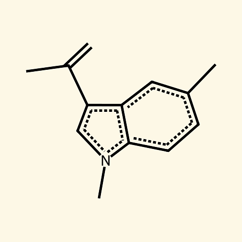 C=C(C)c1cn(C)c2ccc(C)cc12